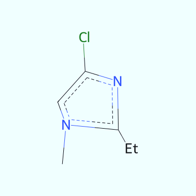 CCc1nc(Cl)cn1C